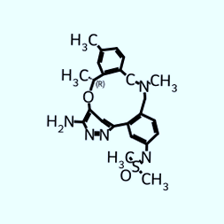 Cc1ccc2c(c1)[C@@H](C)Oc1cc(nnc1N)-c1cc(N=S(C)(C)=O)ccc1CN(C)C2